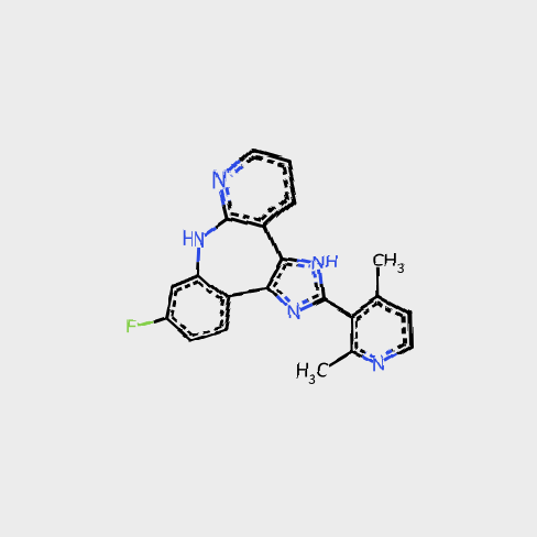 Cc1ccnc(C)c1-c1nc2c([nH]1)-c1cccnc1Nc1cc(F)ccc1-2